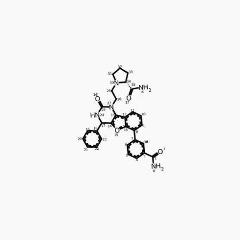 NC(=O)c1cccc(-c2cccc3c4c(oc23)C(c2ccccc2)NC(=O)N4CCN2CCC[C@@H]2C(N)=O)c1